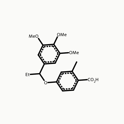 CCC(Oc1ccc(C(=O)O)c(C)c1)c1cc(OC)c(OC)c(OC)c1